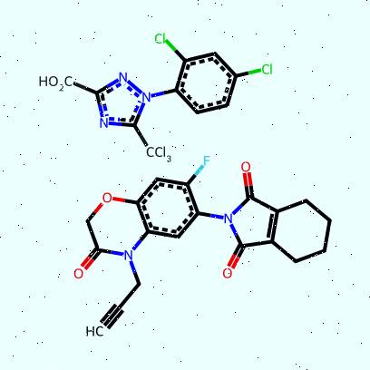 C#CCN1C(=O)COc2cc(F)c(N3C(=O)C4=C(CCCC4)C3=O)cc21.O=C(O)c1nc(C(Cl)(Cl)Cl)n(-c2ccc(Cl)cc2Cl)n1